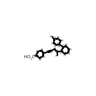 C/C(=C\C#Cc1ccc(C(=O)O)cc1)c1ccccc1-c1ccc(C)cc1